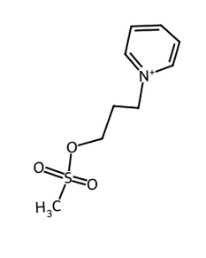 CS(=O)(=O)OCCC[n+]1ccccc1